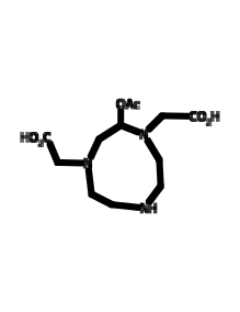 CC(=O)OC1CN(CC(=O)O)CCNCCN1CC(=O)O